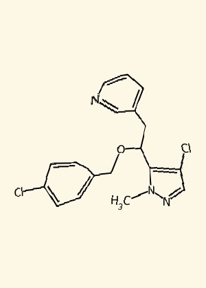 Cn1ncc(Cl)c1C(Cc1cccnc1)OCc1ccc(Cl)cc1